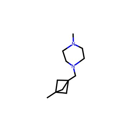 CN1CCN(CC23CC(C)(C2)C3)CC1